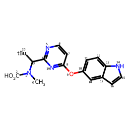 CN(C(=O)O)C(c1nccc(Oc2ccc3[nH]ccc3c2)n1)C(C)(C)C